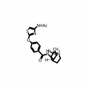 CC(=O)Nc1csc(Oc2ccc(C(=O)N[C@@H]3C4CCN(CC4)[C@H]3C)cc2)n1